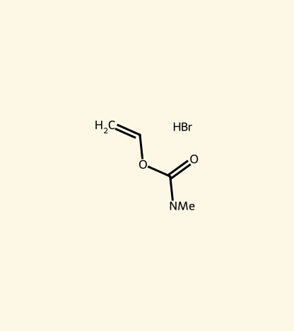 Br.C=COC(=O)NC